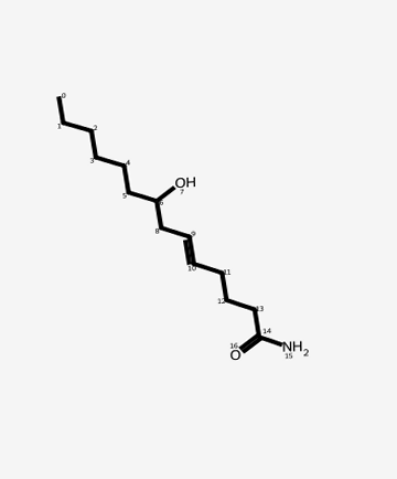 CCCCCCC(O)C/C=C/CCCC(N)=O